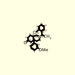 COc1cccc(C23CCN(C(C)c4ccccc4Cl)CC2CCC(=O)C3)c1